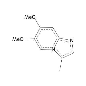 COc1cc2ncc(C)n2cc1OC